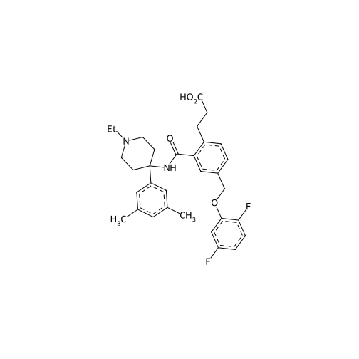 CCN1CCC(NC(=O)c2cc(COc3cc(F)ccc3F)ccc2CCC(=O)O)(c2cc(C)cc(C)c2)CC1